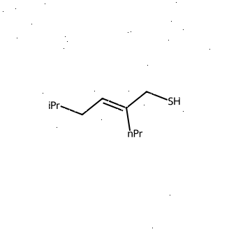 CCC/C(=C\CC(C)C)CS